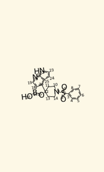 O=S(=O)(c1ccccc1)N1CCC2(CC1)OB(O)c1cnc3[nH]ccc3c12